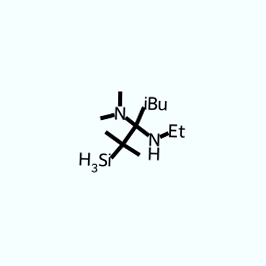 CCNC(C(C)CC)(N(C)C)C(C)(C)[SiH3]